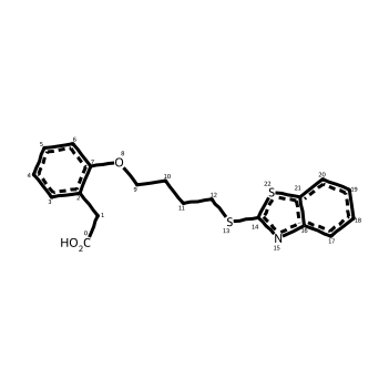 O=C(O)Cc1ccccc1OCCCCSc1nc2ccccc2s1